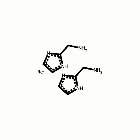 NCc1ncc[nH]1.NCc1ncc[nH]1.[Re]